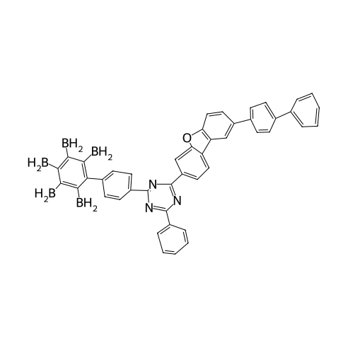 Bc1c(B)c(B)c(-c2ccc(-c3nc(-c4ccccc4)nc(-c4ccc5c(c4)oc4ccc(-c6ccc(-c7ccccc7)cc6)cc45)n3)cc2)c(B)c1B